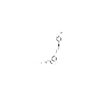 CCOC(=O)Cc1c[nH]c2ccc(OCCCC#Cc3ccc(OC(F)(F)F)cc3)cc12